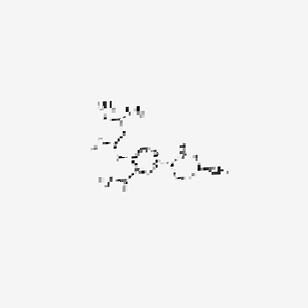 CCN(C)CC(C)Sc1ccc([C@H]2CC[C@H](C)CN2)cc1NC